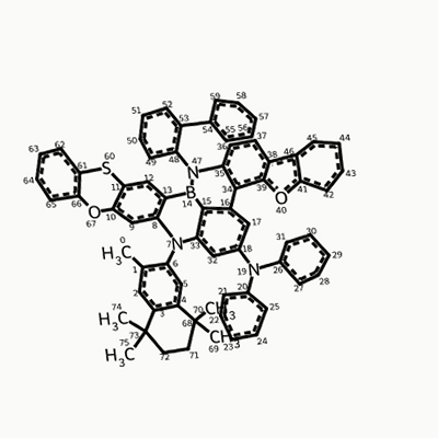 Cc1cc2c(cc1N1c3cc4c(cc3B3c5c(cc(N(c6ccccc6)c6ccccc6)cc51)-c1c(ccc5c1oc1ccccc15)N3c1ccccc1-c1ccccc1)Sc1ccccc1O4)C(C)(C)CCC2(C)C